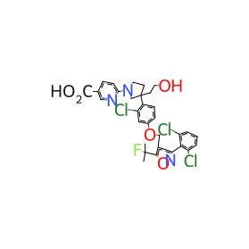 CC(C)(F)c1onc(-c2c(Cl)cccc2Cl)c1COc1ccc(C2(CCO)CCN(c3ccc(C(=O)O)cn3)C2)c(Cl)c1